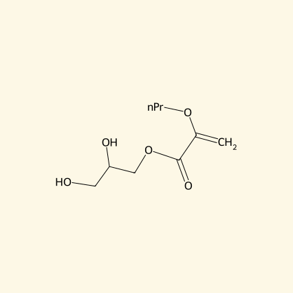 C=C(OCCC)C(=O)OCC(O)CO